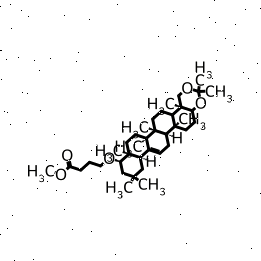 COC(=O)CCCO[C@@H]1CC(C)(C)C[C@@H]2C3=CC[C@@H]4[C@@]5(C)CCC6OC(C)(C)OC[C@@]6(C)C5CC[C@@]4(C)[C@]3(C)CC[C@]21C